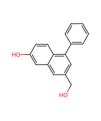 OCc1cc(-c2ccccc2)c2ccc(O)cc2c1